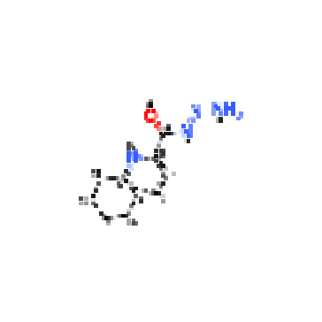 NN=NC(=O)c1ccc2c(n1)CCCC2